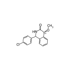 CO[C@@H]1C(=O)NC(c2ccc(Cl)cc2)c2ccccc21